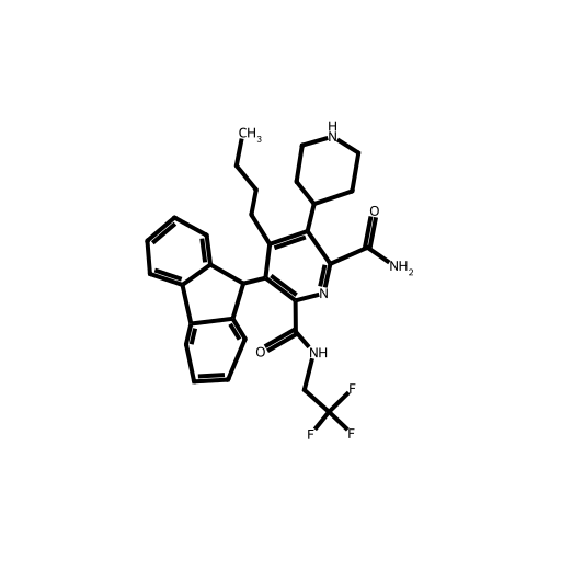 CCCCc1c(C2CCNCC2)c(C(N)=O)nc(C(=O)NCC(F)(F)F)c1C1c2ccccc2-c2ccccc21